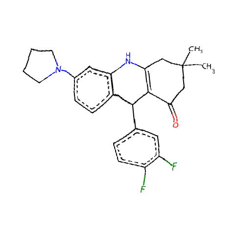 CC1(C)CC(=O)C2=C(C1)Nc1cc(N3CCCC3)ccc1C2c1ccc(F)c(F)c1